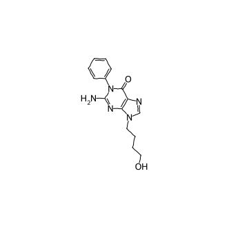 Nc1nc2c(ncn2CCCCO)c(=O)n1-c1ccccc1